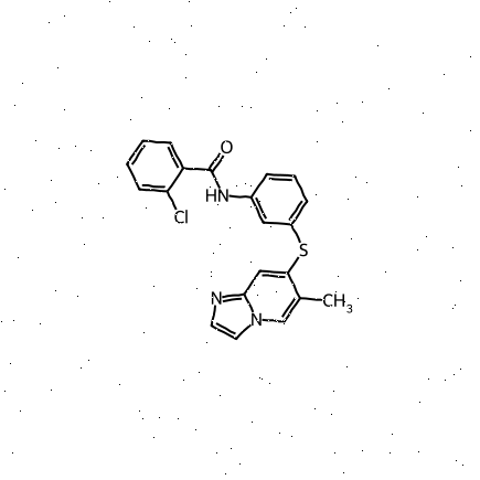 Cc1cn2ccnc2cc1Sc1cccc(NC(=O)c2ccccc2Cl)c1